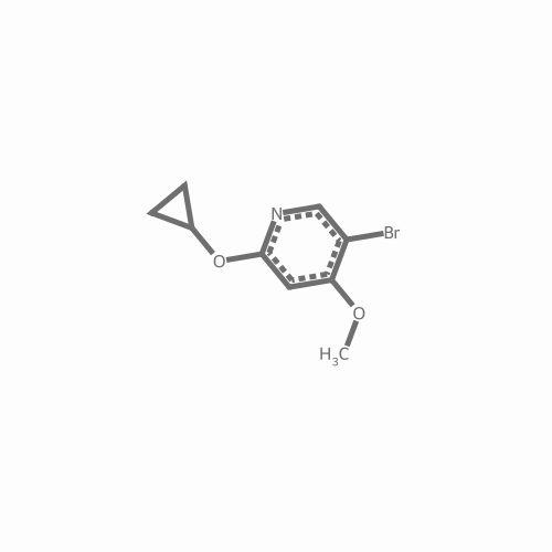 COc1cc(OC2CC2)ncc1Br